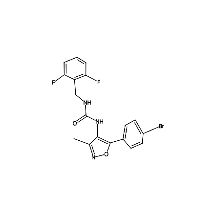 Cc1noc(-c2ccc(Br)cc2)c1NC(=O)NCc1c(F)cccc1F